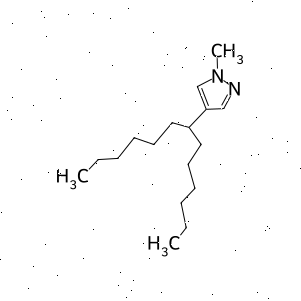 CCCCCCC(CCCCCC)c1cnn(C)c1